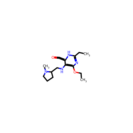 CCOC1=C(NCC2CCCN2C)C(=C=O)NC(CC)=N1